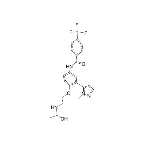 CC(O)NCCOc1ccc(NC(=O)c2ccc(C(F)(F)F)cc2)cc1-c1ccnn1C